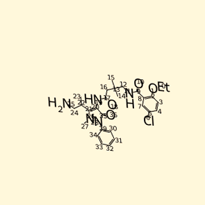 CCOc1ccc(Cl)cc1C(=O)NCC(C)(C)CC(=O)Nc1c(C(C)CN)n(C)n(-c2ccccc2)c1=O